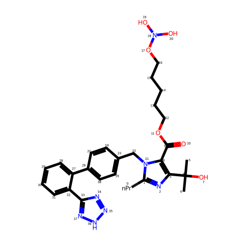 CCCc1nc(C(C)(C)O)c(C(=O)OCCCCCON(O)O)n1Cc1ccc(-c2ccccc2-c2nn[nH]n2)cc1